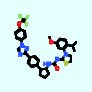 COc1ccc(C(C)C)c(N2CCS/C2=N\C(=O)NC2CCCC2c2ccc(-c3ncn(-c4ccc(OC(F)(F)F)cc4)n3)cc2)c1